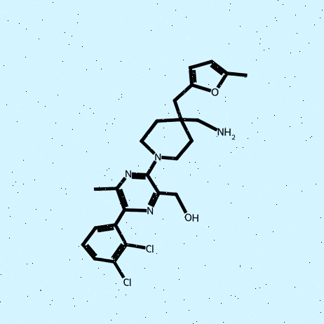 Cc1ccc(CC2(CN)CCN(c3nc(C)c(-c4cccc(Cl)c4Cl)nc3CO)CC2)o1